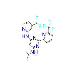 CC(C)Nc1cc(Nc2cc(C(F)F)ccn2)nc(-c2cccc(C(F)(F)F)n2)n1